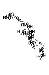 Cn1ncc(-c2nc(N[C@H]3CC[C@H](NCCCCCCCCNC(=O)N(Cc4cc5c(s4)C(=O)N(C4CCC(=O)NC4=O)C5)c4nc(N[C@H]5CC[C@H](NCC(=O)NCCOCCOCCOCCNc6cccc7c6C(=O)N(C6CCC(=O)NC6=O)C7=O)CC5)nc(-c5cnn(C)c5CC5CC5)c4F)CC3)ncc2F)c1CC1CC1